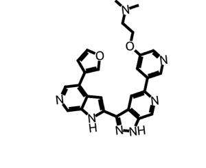 CN(C)CCOc1cncc(-c2cc3c(-c4cc5c(-c6ccoc6)cncc5[nH]4)n[nH]c3cn2)c1